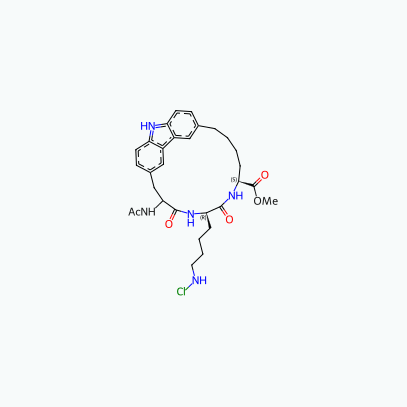 COC(=O)[C@@H]1CCCCc2ccc3[nH]c4ccc(cc4c3c2)CC(NC(C)=O)C(=O)N[C@H](CCCCNCl)C(=O)N1